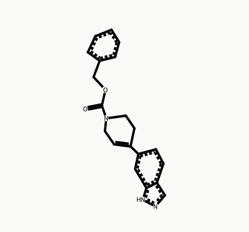 O=C(OCc1ccccc1)N1CC=C(c2ccc3cn[nH]c3c2)CC1